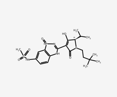 CC(C)[C@@H]1C(O)=C(C2=N[PH](=O)c3cc(NS(C)(=O)=O)ccc3N2)C(=O)N1CCC(C)(C)C